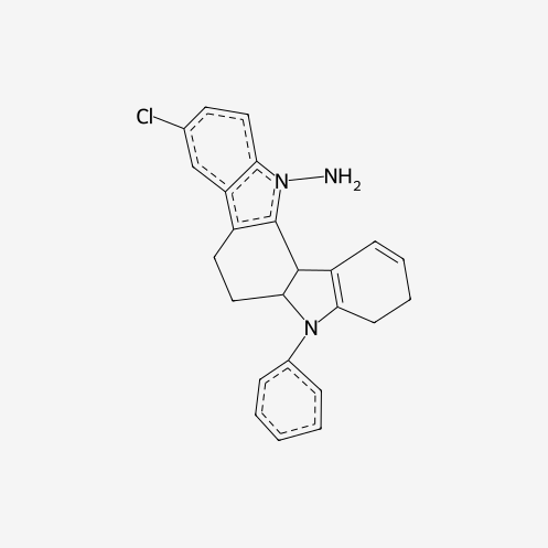 Nn1c2c(c3cc(Cl)ccc31)CCC1C2C2=C(CCC=C2)N1c1ccccc1